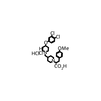 COc1ccc(C[C@@H](C(=O)O)N2CCC(CN3CCC(Oc4ccc(Cl)c(Cl)c4)CC3)CC2)cc1.Cl.Cl